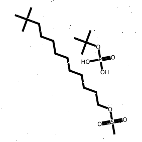 CC(C)(C)CCCCCCCCCCOS(C)(=O)=O.CC(C)(C)OP(=O)(O)O